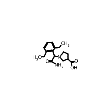 CCc1cccc(CC)c1C(C(N)=O)N1CCC(C(=O)O)C1